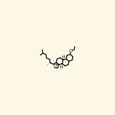 CCOC1CCC2CC[C@H]3[C@@H]4CC[C@H]([C@H](C)CCCC(C)C)[C@@]4(C)CC[C@@H]3[C@@]2(C)C1